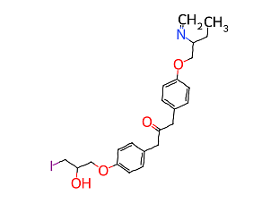 C=NC(CC)COc1ccc(CC(=O)Cc2ccc(OCC(O)CI)cc2)cc1